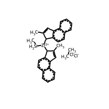 CC.C[SiH2][Zr+2]([CH]1C(C)=Cc2c1ccc1ccccc21)[CH]1C(C)=Cc2c1ccc1ccccc21.[Cl-].[Cl-]